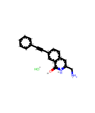 Cl.NCc1cc2ccc(C#Cc3ccccc3)cc2c(=O)[nH]1